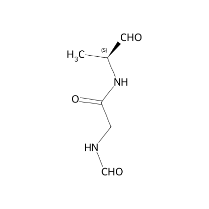 C[C@@H](C=O)NC(=O)CNC=O